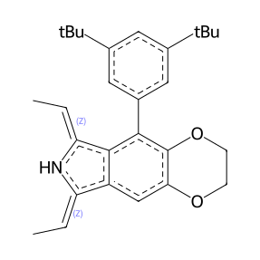 C/C=c1\[nH]/c(=C\C)c2c(-c3cc(C(C)(C)C)cc(C(C)(C)C)c3)c3c(cc12)OCCO3